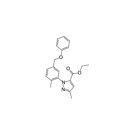 CCOC(=O)c1cc(C)nn1-c1cc(COc2ccccc2)ccc1C